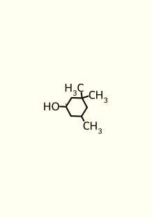 CC1C[C](O)CC(C)(C)C1